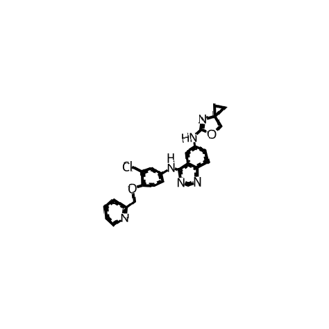 Clc1cc(Nc2ncnc3ccc(NC4=NC5(CC5)CO4)cc23)ccc1OCc1ccccn1